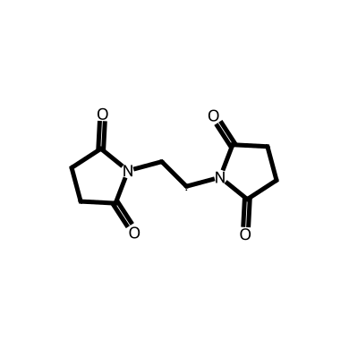 O=C1CCC(=O)N1[CH]CN1C(=O)CCC1=O